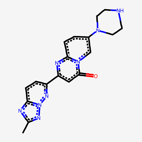 Cc1nc2ccc(-c3cc(=O)n4cc(N5CCNCC5)ccc4n3)nn2n1